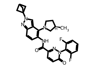 C[C@@H]1CCN(c2c(NC(=O)c3ccc(=O)n(-c4c(F)cccc4F)n3)ccc3nn(C45CC(C4)C5)cc23)C1